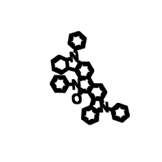 O=c1c2c(ccc3c2c2ccccc2n3-c2ccccc2)c2ccc3c(c2n1-c1ccccc1)C1C=CC=CC1N3c1ccccc1